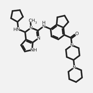 CN1C(Nc2ccc(C(=O)N3CCC(N4CCCCC4)CC3)c3c2CCC3)=Nc2[nH]ccc2C1NC1CCCC1